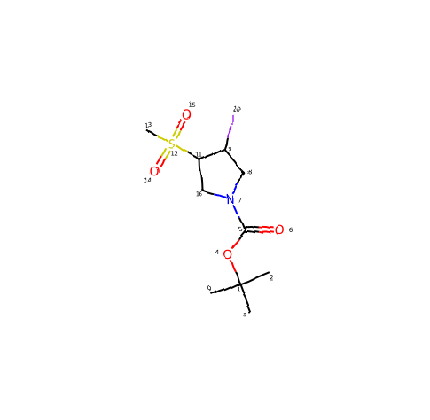 CC(C)(C)OC(=O)N1CC(I)C(S(C)(=O)=O)C1